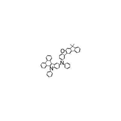 CC1(C)c2ccccc2-c2cc3c(cc21)oc1ccc(N(c2ccccc2)c2ccc4c(c2)c2c5ccccc5c5ccccc5c2n4-c2ccccc2)cc13